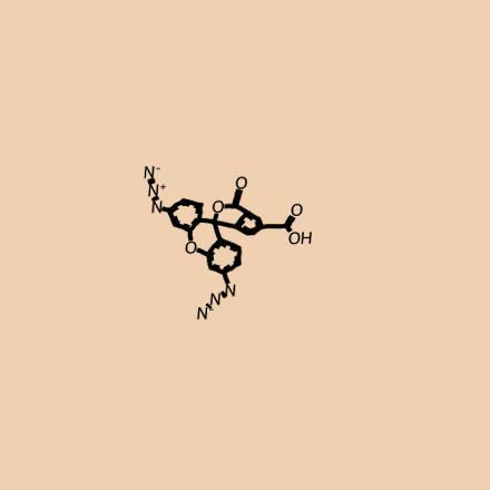 [N-]=[N+]=Nc1ccc2c(c1)Oc1cc(N=[N+]=[N-])ccc1C21OC(=O)c2cc(C(=O)O)ccc21